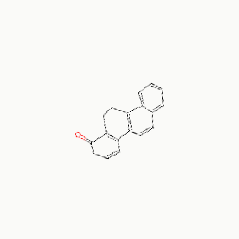 O=C1CC=CC2=C1CCc1c2ccc2ccccc12